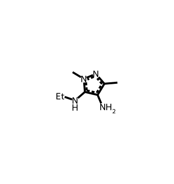 CCNc1c(N)c(C)nn1C